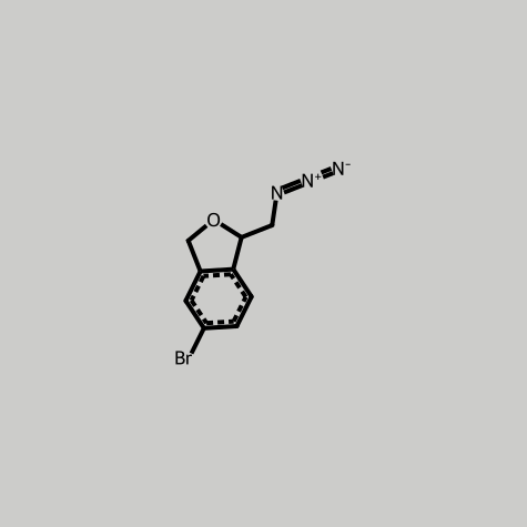 [N-]=[N+]=NCC1OCc2cc(Br)ccc21